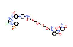 COc1cc(N2CCC(NC(=O)CCOCCOCCOCCOCCNc3cccc4c3C(=O)N(C3CCC(=O)NC3=O)C4=O)CC2)ccc1Nc1ncc(Cl)c(Nc2ccccc2P(C)(C)=O)n1